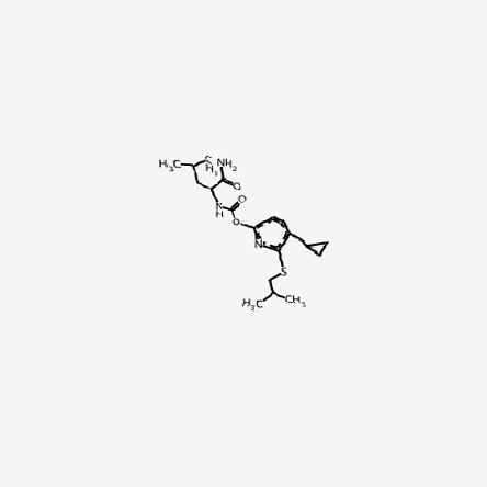 CC(C)CSc1nc(OC(=O)N[C@@H](CC(C)C)C(N)=O)ccc1C1CC1